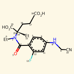 CCN(C(=O)c1ccc(NCC#N)cc1F)[C@@](CC)(CCC(=O)O)C(=O)O